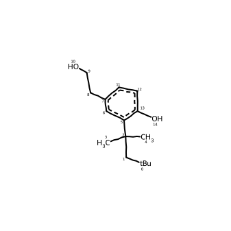 CC(C)(C)CC(C)(C)c1cc(CCO)ccc1O